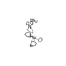 CC(C)(C)OC(=O)N1CC[C@@H](C[PH](c2ccccc2)(c2ccccc2)c2ccccc2)C1